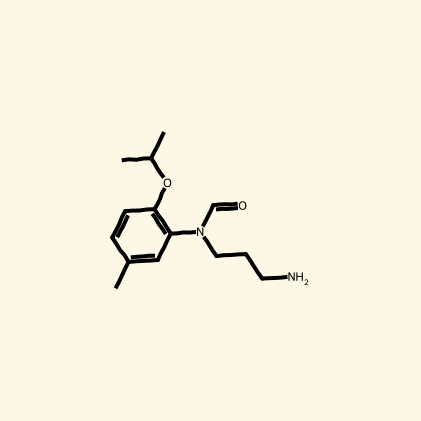 Cc1ccc(OC(C)C)c(N(C=O)CCCN)c1